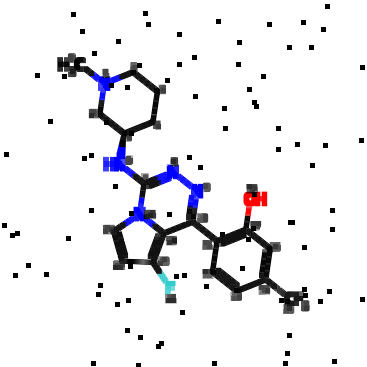 CN1CCC[C@@H](Nc2nnc(-c3ccc(C(F)(F)F)cc3O)c3c(F)ccn23)C1